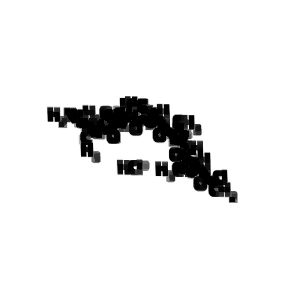 C=C(Cl)C(=O)Nc1cc(C(=O)Nc2cc(C(=O)Nc3cc(C(=O)Nc4cc(C(=O)NCC(C)NC=NN)n(C)c4)n(C)c3)n(C)c2)n(C)c1.Cl